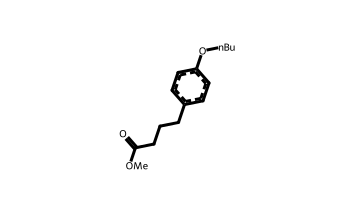 CCCCOc1ccc(CCCC(=O)OC)cc1